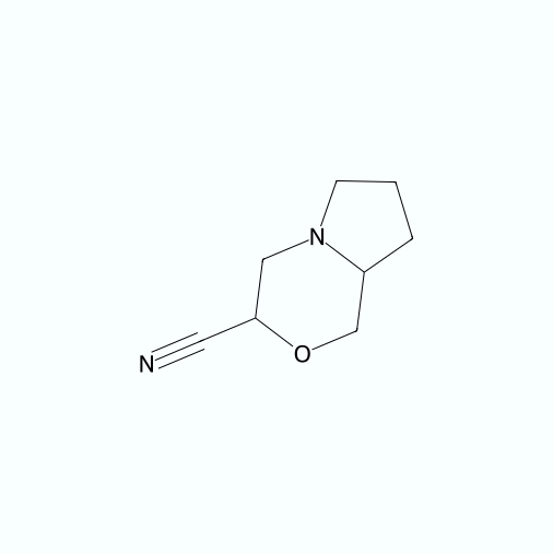 N#CC1CN2CCCC2CO1